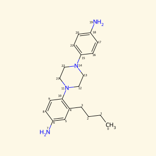 CCCCc1cc(N)ccc1N1CCN(c2ccc(N)cc2)CC1